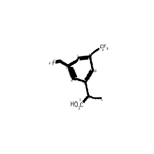 CC(C(=O)O)c1cc(F)cc(C(F)(F)F)c1